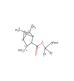 CCCCCC(CC)(CC)OC(=O)C1C2CC(C(C)=C2C)C1C(=O)O